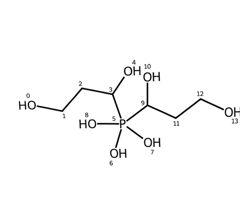 OCCC(O)P(O)(O)(O)C(O)CCO